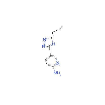 CCCC1N=NC(c2ccc(N)nc2)=N1